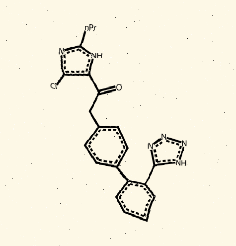 CCCc1nc(Cl)c(C(=O)Cc2ccc(-c3ccccc3-c3nnn[nH]3)cc2)[nH]1